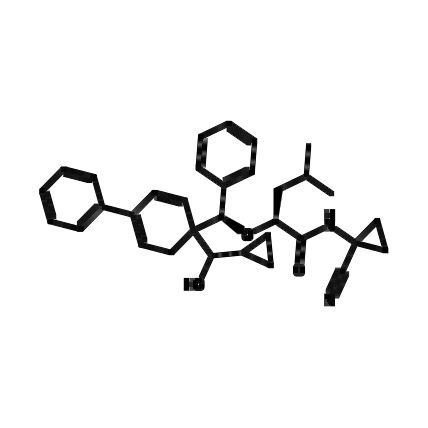 CC(C)C[C@H](O[C@H](c1ccccc1)C1(C(O)C2CC2)C=CC(c2ccccc2)=CC1)C(=O)NC1(C#N)CC1